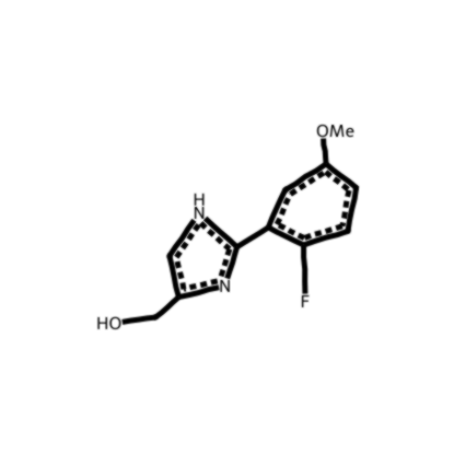 COc1ccc(F)c(-c2nc(CO)c[nH]2)c1